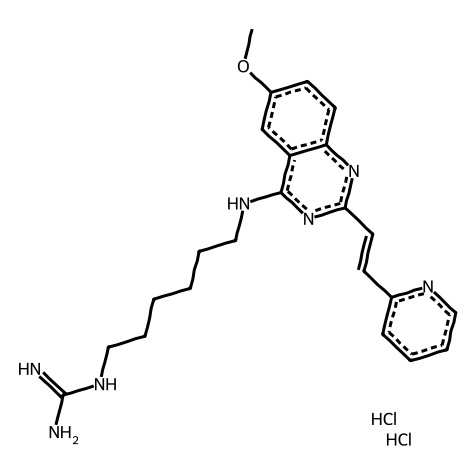 COc1ccc2nc(/C=C/c3ccccn3)nc(NCCCCCCNC(=N)N)c2c1.Cl.Cl